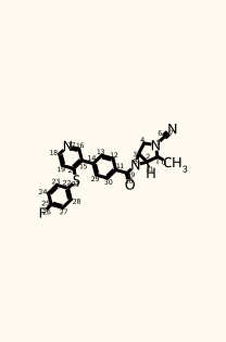 CC1[C@H]2C(CN1C#N)N2C(=O)c1ccc(-c2cnccc2Sc2ccc(F)cc2)cc1